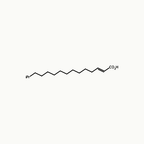 CC(C)CCCCCCCCCC/C=C/C(=O)O